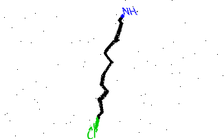 [NH]CCCCCCCCCl